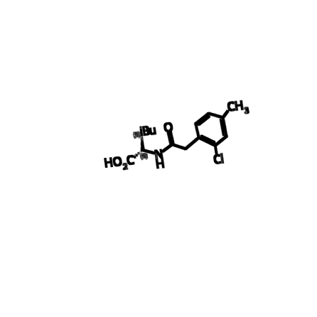 CC[C@H](C)[C@H](NC(=O)Cc1ccc(C)cc1Cl)C(=O)O